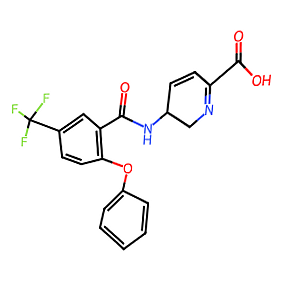 O=C(O)C1=NCC(NC(=O)c2cc(C(F)(F)F)ccc2Oc2ccccc2)C=C1